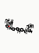 COC(=O)NC(C(=O)N1CC2(CC2)C[C@H]1c1ncc(-c2ccc3c(c2)C(F)(F)c2cc(-c4ccc5nc([C@@H]6[C@H]7CC[C@H](C7)N6C(=O)[C@H](CS(C)(=O)=O)NC(=O)OC)[nH]c5c4)ccc2-3)[nH]1)C(C)C